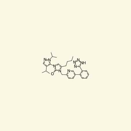 CCCCc1cn(-c2c(C(C)C)cnn2C(C)C)c(=O)n1Cc1ccc(-c2ccccc2-c2nnn[nH]2)cn1